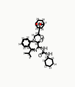 CC(C)C1=NC(NC(=O)NC2CCCCC2)C(=O)N(CC(=O)N2CC3CCC(CC3)C2)c2ccccc21